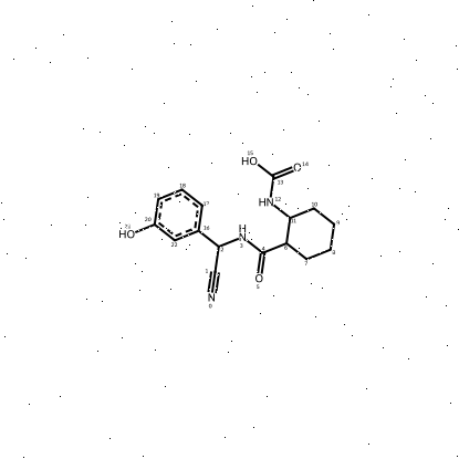 N#CC(NC(=O)C1CCCCC1NC(=O)O)c1cccc(O)c1